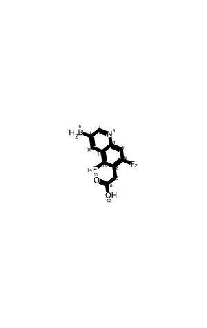 Bc1cnc2cc(F)c(CC(=O)O)c(F)c2c1